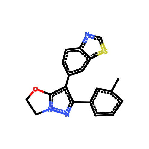 Cc1cccc(-c2nn3c(c2-c2ccc4ncsc4c2)OCC3)c1